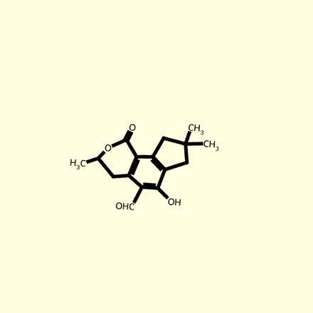 CC1Cc2c(C=O)c(O)c3c(c2C(=O)O1)CC(C)(C)C3